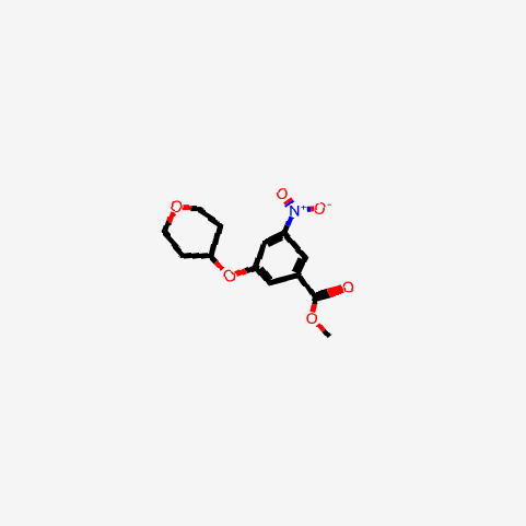 COC(=O)c1cc(OC2CCOCC2)cc([N+](=O)[O-])c1